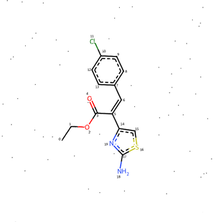 CCOC(=O)C(=Cc1ccc(Cl)cc1)c1csc(N)n1